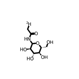 [2H]CC(=O)NC1O[C@H](CO)[C@@H](O)[C@H](O)[C@H]1O